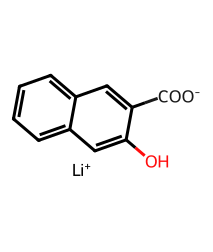 O=C([O-])c1cc2ccccc2cc1O.[Li+]